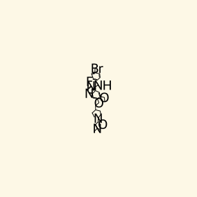 COc1cc2c(Nc3ccc(Br)cc3F)ncnc2cc1OCC1CCN(C(=O)CN(C)C)CC1